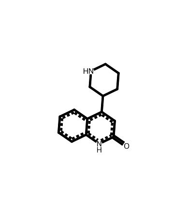 O=c1cc(C2CCCNC2)c2ccccc2[nH]1